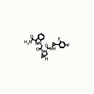 NC(=O)c1nn(CC(=O)N2C3C[C@@H]3C[C@H]2C(=O)NC2CC2c2ccc(F)cc2F)c2ccccc12